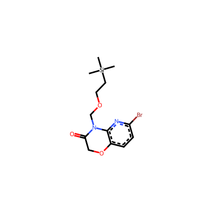 C[Si](C)(C)CCOCN1C(=O)COc2ccc(Br)nc21